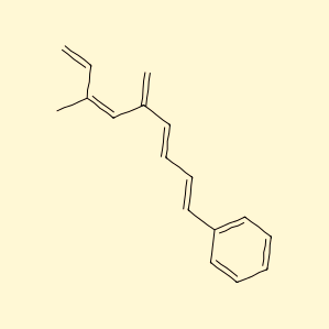 C=CC(C)=CC(=C)C=CC=Cc1ccccc1